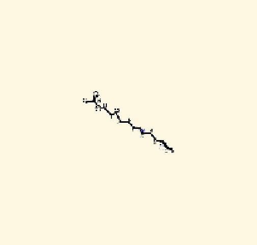 C/C=C/CC/C=C/CCCCCCOC(C)=O